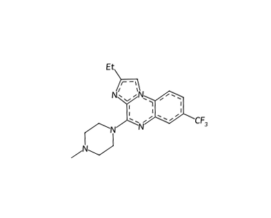 CCc1cn2c(n1)c(N1CCN(C)CC1)nc1cc(C(F)(F)F)ccc12